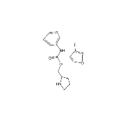 Cc1ccon1.O=C(Nc1ccccc1)OCC1CCCN1